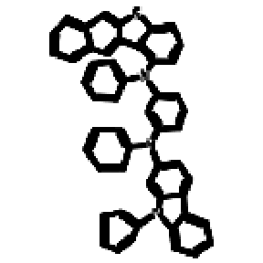 c1ccc(N(c2cccc(N(c3ccccc3)c3cccc4sc5cc6ccccc6cc5c34)c2)c2ccc3c4ccccc4n(-c4ccccc4)c3c2)cc1